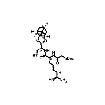 CCCCCCCCCCCC(=O)N[C@@H](CCCNC(=N)N)C(=O)N[C@@H](CC(C)C)B1O[C@@H]2C[C@@H]3C[C@@H](C3(C)C)[C@]2(C)O1